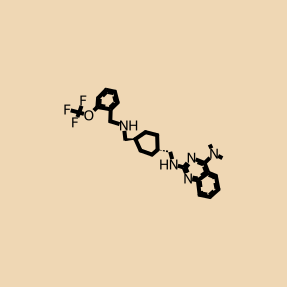 CN(C)c1nc(NC[C@H]2CC[C@H](CNCc3ccccc3OC(F)(F)F)CC2)nc2ccccc12